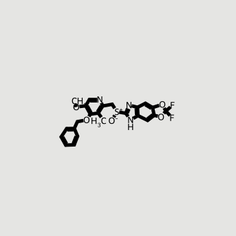 COc1cnc(C[S+]([O-])c2nc3cc4c(cc3[nH]2)OC(F)(F)O4)c(C)c1OCc1ccccc1